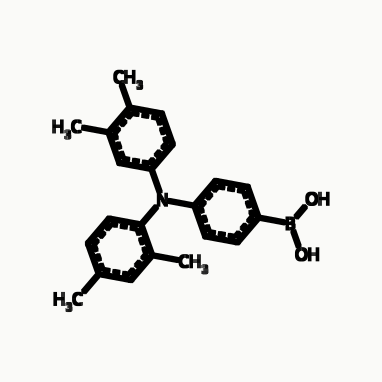 Cc1ccc(N(c2ccc(B(O)O)cc2)c2ccc(C)c(C)c2)c(C)c1